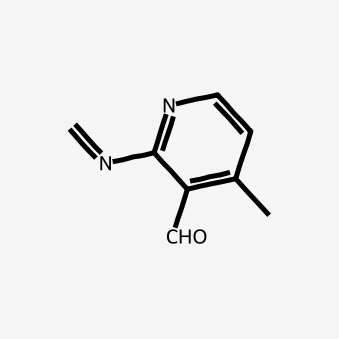 C=Nc1nccc(C)c1C=O